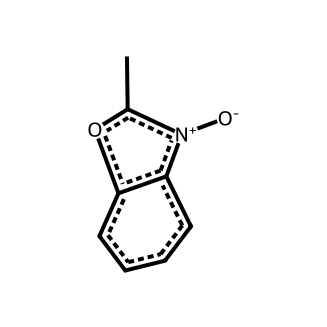 Cc1oc2ccccc2[n+]1[O-]